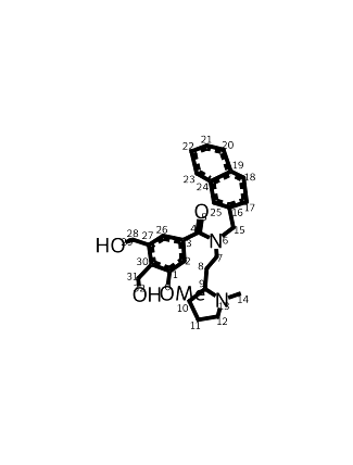 COc1cc(C(=O)N(CCC2CCCN2C)Cc2ccc3ccccc3c2)cc(CO)c1CO